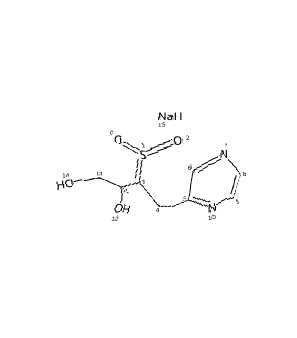 O=S(=O)=C(Cc1cnccn1)C(O)CO.[NaH]